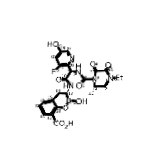 CCN1C[C@H](C)N(C(=O)NC(C(=O)N[C@H]2Cc3cccc(C(=O)O)c3OB2O)c2ncc(O)cc2F)C(=O)C1=O